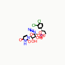 [N-]=[N+]=N[C@]1(COP2(=O)OCC[C@@H](c3ccc(Cl)c(Cl)c3)O2)O[C@@H](n2ccc(=O)[nH]c2=O)[C@H](O)[C@@H]1O